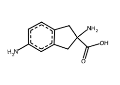 Nc1ccc2c(c1)CC(N)(C(=O)O)C2